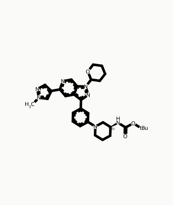 Cn1cc(-c2cc3c(-c4cccc(N5CCC[C@H](NC(=O)OC(C)(C)C)C5)c4)nn(C4CCCCO4)c3cn2)cn1